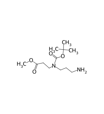 COC(=O)CCN(CCCN)C(=O)OC(C)(C)C